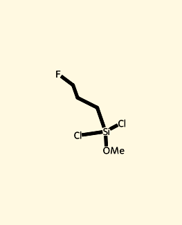 CO[Si](Cl)(Cl)CCCF